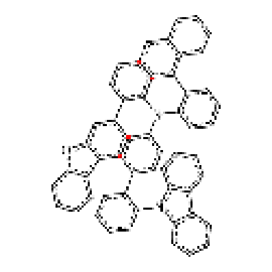 c1ccc(N(c2ccc(-c3ccccc3-n3c4ccccc4c4ccccc43)cc2)c2ccccc2-c2cccc3ccccc23)c(-c2ccc3c(c2)oc2ccccc23)c1